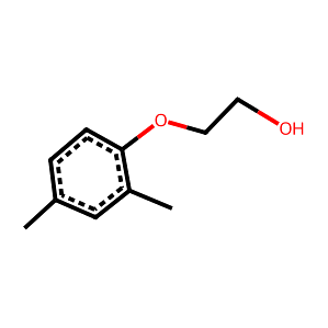 Cc1ccc(OCCO)c(C)c1